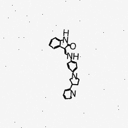 O=C1Nc2ccccc2C1=CNc1ccc(N2CCC(c3ccccn3)C2)cc1